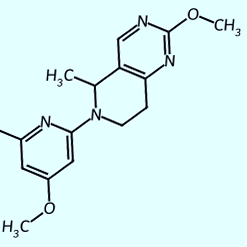 COc1cc(F)nc(N2CCc3nc(OC)ncc3C2C)c1